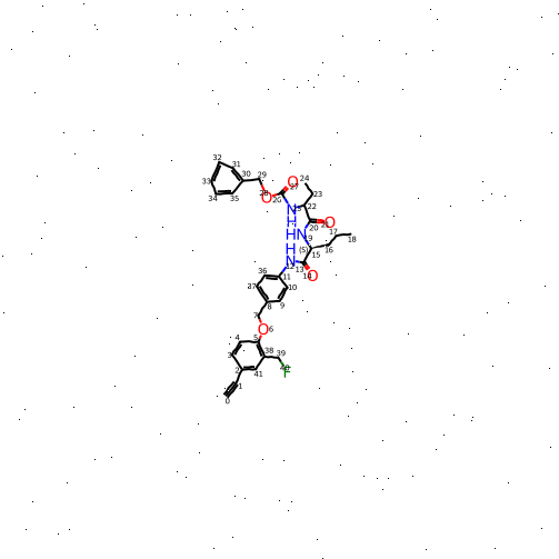 C#Cc1ccc(OCc2ccc(NC(=O)[C@H](CCC)NC(=O)C(CC)NC(=O)OCc3ccccc3)cc2)c(CF)c1